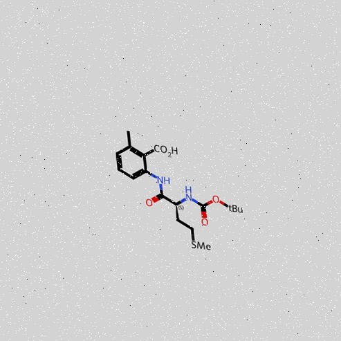 CSCC[C@H](NC(=O)OC(C)(C)C)C(=O)Nc1cccc(C)c1C(=O)O